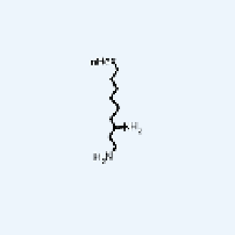 CCCCCCCCCCCCC(N)CCN